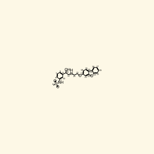 CS(=O)(=O)Nc1cccc(C(O)CNCCOc2ccc3c(c2)oc2ccccc23)c1